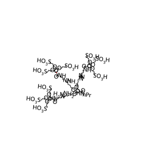 CCCNC(=O)c1cc(OCCCC/C(N)=C/N(N)CCCNC(=O)c2cc(OCCCS(=O)(=O)O)c(OCCCS(=O)(=O)O)c(OCCCS(=O)(=O)O)c2)c(OCCCC/C(N)=C/NCCCNC(=O)c2cc(OCCCS(=O)(=O)O)c(OCCCS(=O)(=O)O)c(OCCCS(=O)(=O)O)c2)c(OCCCCc2cn(CCCNC(=O)c3cc(OCCCS(=O)(=O)O)c(OCCCS(=O)(=O)O)c(OCCCS(=O)(=O)O)c3)nn2)c1